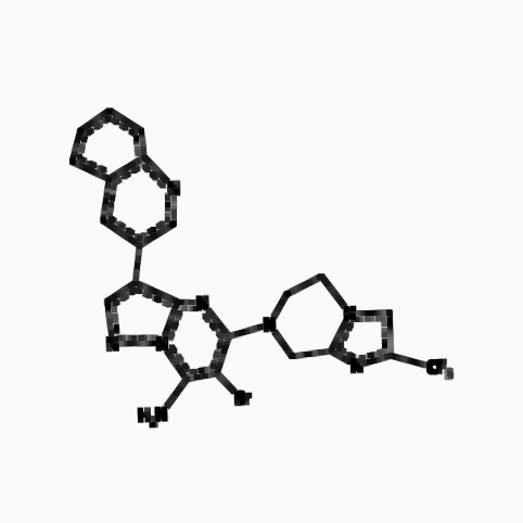 Nc1c(Br)c(N2CCn3cc(C(F)(F)F)nc3C2)nc2c(-c3cnc4ccccc4c3)cnn12